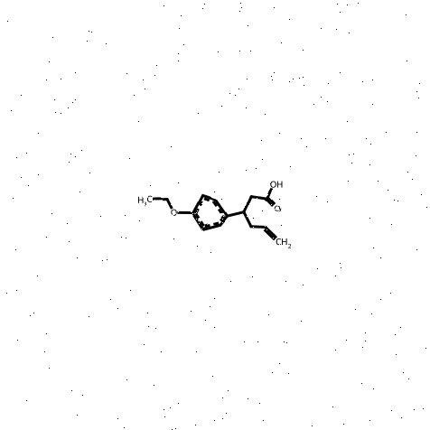 C=CCC(CC(=O)O)c1ccc(OCC)cc1